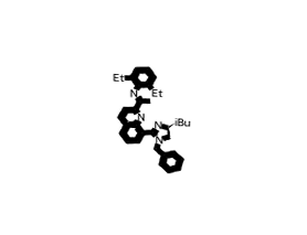 CCc1cccc(CC)c1/N=C(\C)c1ccc2cccc(C3=N[C@@H]([C@@H](C)CC)CN3Cc3ccccc3)c2n1